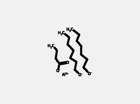 CCCC(=O)[O-].CCCCCCC[O-].CCCCCCC[O-].[Al+3]